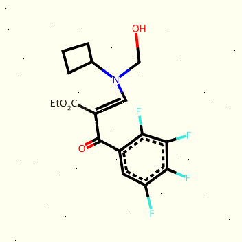 CCOC(=O)C(=CN(CO)C1CCC1)C(=O)c1cc(F)c(F)c(F)c1F